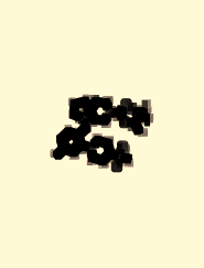 Cc1ccc(CN2CCCC23CCN(C(=O)OC(C)C(F)(F)F)CC3)c(N2CCC(S(C)(=O)=O)CC2)c1